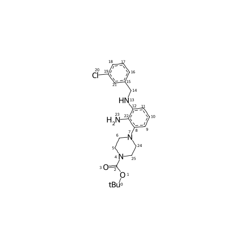 CC(C)(C)OC(=O)N1CCN(c2cccc(NCc3cccc(Cl)c3)c2N)CC1